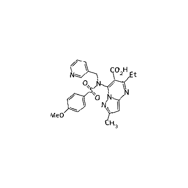 CCc1nc2cc(C)nn2c(N(Cc2cccnc2)S(=O)(=O)c2ccc(OC)cc2)c1C(=O)O